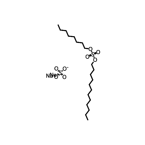 CCCCCCCCCCCCOS(=O)(=O)OCCCCCCCC.O=S(=O)([O-])[O-].[Na+].[Na+]